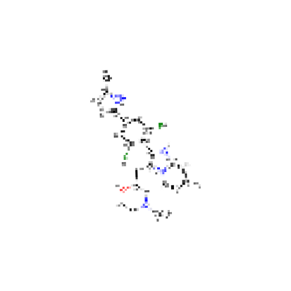 Cc1ccn2c(C[C@H]3CN(C(=O)O)CCO3)c(-c3c(F)cc(-c4ccc(C#N)[nH]4)cc3F)nc2c1